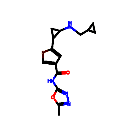 Cc1nnc(NC(=O)c2csc(C3CC3NCC3CC3)c2)o1